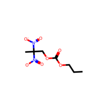 CCCOC(=O)OCC(C)([N+](=O)[O-])[N+](=O)[O-]